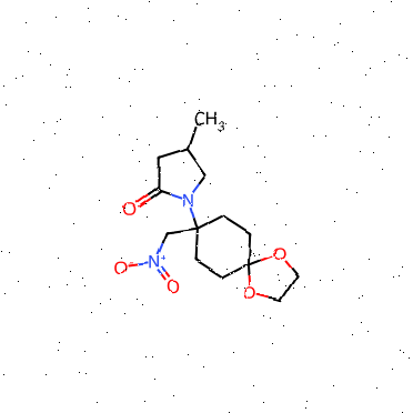 CC1CC(=O)N(C2(C[N+](=O)[O-])CCC3(CC2)OCCO3)C1